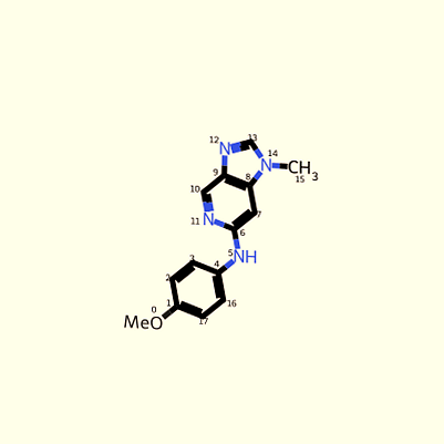 COc1ccc(Nc2cc3c(cn2)ncn3C)cc1